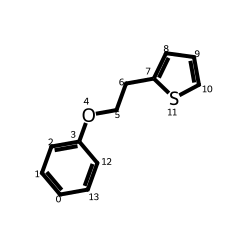 c1ccc(OCCc2cccs2)cc1